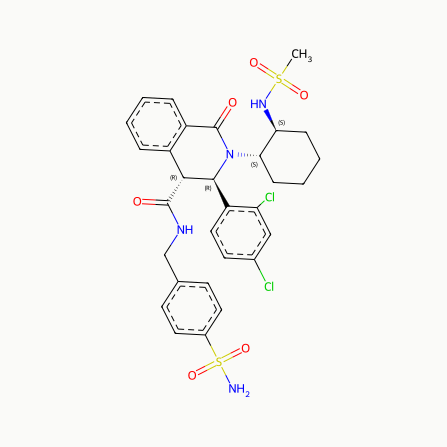 CS(=O)(=O)N[C@H]1CCCC[C@@H]1N1C(=O)c2ccccc2[C@@H](C(=O)NCc2ccc(S(N)(=O)=O)cc2)[C@@H]1c1ccc(Cl)cc1Cl